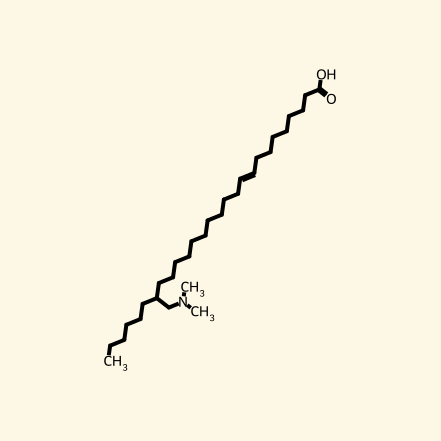 CCCCCCC(CCCCCCCCCCC=CCCCCCCCC(=O)O)CN(C)C